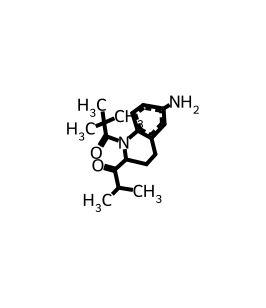 CC(C)C(=O)C1CCc2cc(N)ccc2N1C(=O)C(C)(C)C